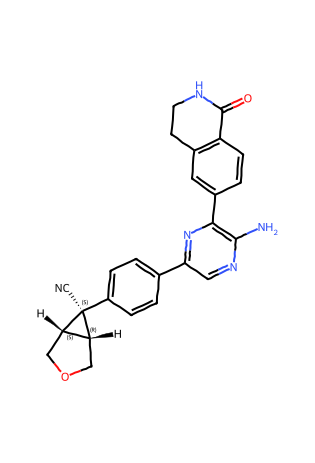 N#C[C@]1(c2ccc(-c3cnc(N)c(-c4ccc5c(c4)CCNC5=O)n3)cc2)[C@@H]2COC[C@@H]21